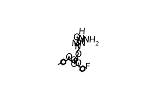 Cc1ccc(C(=O)COP(=O)(CCOCCn2cnc3c(=O)[nH]c(N)nc32)OCc2cccc(F)c2)cc1